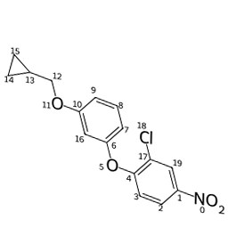 O=[N+]([O-])c1ccc(Oc2cccc(OCC3CC3)c2)c(Cl)c1